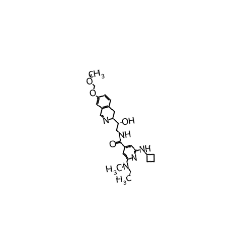 CCN(C)c1cc(C(=O)NC[C@@H](O)C2Cc3ccc(OCOC)cc3C=N2)cc(NC2CCC2)n1